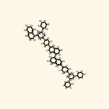 c1ccc(-c2cc(-c3ccccc3)nc(-c3ccc(-c4ccc5c(-c6cccc7cc(-c8ccc(-c9nc(-c%10ccccc%10)nc(-c%10cccc%11ccccc%10%11)n9)cc8)ccc67)cccc5c4)cc3)n2)cc1